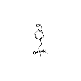 CN=S(C)(=O)CCc1ccc(C(F)(F)F)nc1